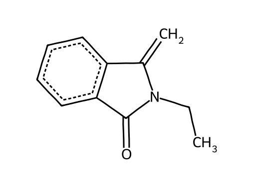 C=C1c2ccccc2C(=O)N1CC